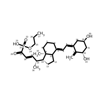 C=C1C(=CC=C2CCC[C@@]3(C)C2CC[C@@H]3[C@H](C)C=CC(=O)P(=O)(O)OCCC)C[C@@H](O)C[C@@H]1O